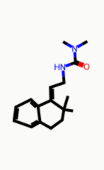 CN(C)C(=O)NCC=C1c2ccccc2CCC1(C)C